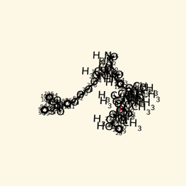 CCC(C)[C@@H]([C@@H](CC(=O)N1CCC[C@H]1[C@H](OC)[C@@H](C)C(=O)N[C@H](C)[C@@H](O)c1ccccc1)OC)N(C)C(=O)[C@@H](NC(=O)[C@H](C(C)C)N(C)C(=O)OCc1ccc(NC(=O)[C@H](CCCNC(N)=O)NC(=O)[C@@H](NC(=O)COCCOCCOCCOc2ccc(N3C(=O)C(Sc4ccccc4)=C(Sc4ccccc4)C3=O)cc2)C(C)C)cc1)C(C)C